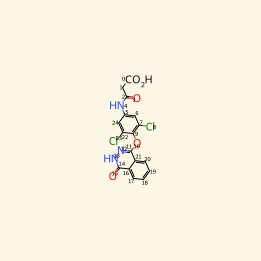 O=C(O)CC(=O)Nc1cc(Cl)c(Oc2n[nH]c(=O)c3ccccc23)c(Cl)c1